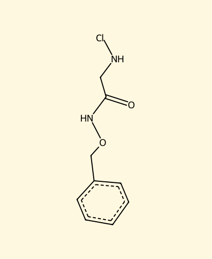 O=C(CNCl)NOCc1ccccc1